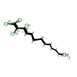 CCCCCCCCC/C=C(\Cl)C(Cl)=C(Cl)Cl